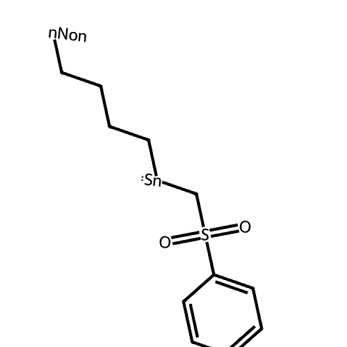 CCCCCCCCCCCC[CH2][Sn][CH2]S(=O)(=O)c1ccccc1